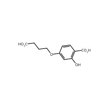 O=C(O)CCCOc1ccc(C(=O)O)c(O)c1